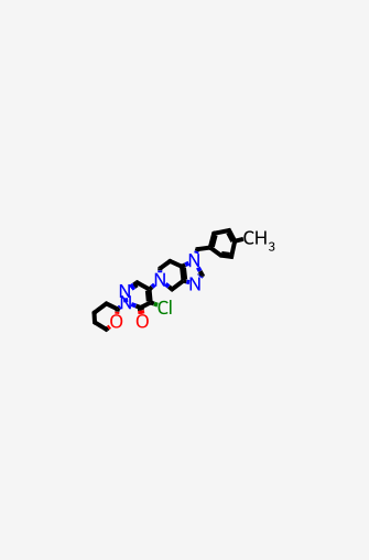 Cc1ccc(Cn2cnc3c2CCN(c2cnn(C4CCCCO4)c(=O)c2Cl)C3)cc1